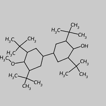 COC1C(C(C)(C)C)CC(C2CC(C(C)(C)C)C(O)C(C(C)(C)C)C2)CC1C(C)(C)C